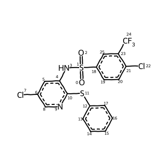 O=S(=O)(Nc1cc(Cl)cnc1Sc1ccccc1)c1ccc(Cl)c(C(F)(F)F)c1